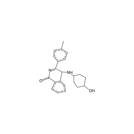 Cc1ccc(C2=NC(=O)c3ccccc3C2NC2CCC(O)CC2)cc1